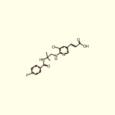 CC(C)(CNc1ncc(/C=C/C(=O)O)cc1Cl)NC(=O)c1ccc(F)cc1